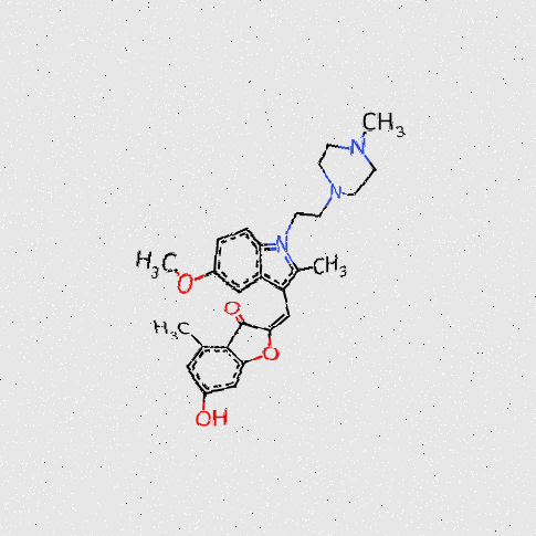 COc1ccc2c(c1)c(C=C1Oc3cc(O)cc(C)c3C1=O)c(C)n2CCN1CCN(C)CC1